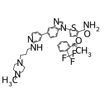 C[C@@H](Oc1cc(-n2cnc3cc(-c4ccnc(NCCCN5CCN(C)CC5)c4)ccc32)sc1C(N)=O)c1ccccc1C(F)(F)F